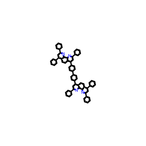 c1ccc(-c2cc(-c3ccccc3)c3ccc4c(-c5ccc(-c6ccc(-c7cc(-c8ccccc8)nc8c7ccc7c(-c9ccccc9)cc(-c9ccccc9)nc78)cc6)cc5)cc(-c5ccccc5)nc4c3n2)cc1